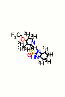 [2H]c1nc(C([2H])([2H])[S+]([O-])c2nc3c([2H])c([2H])c([2H])c([2H])c3[nH]2)c(C([2H])([2H])[2H])c(OCC(F)(F)F)c1[2H]